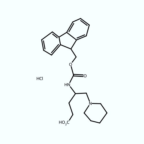 Cl.O=C(O)CCC(CN1CCCCC1)NC(=O)OCC1c2ccccc2-c2ccccc21